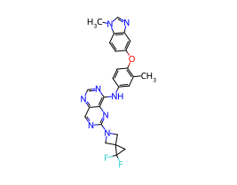 Cc1cc(Nc2ncnc3cnc(N4CC5(C4)CC5(F)F)nc23)ccc1Oc1ccc2c(c1)ncn2C